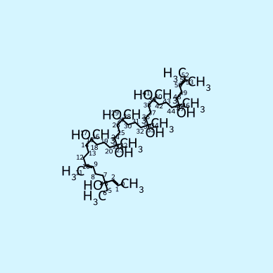 C/C=C/C(O)(CC)CC/C=C(\C)CCCC(C)(O)CCCC(C)(O)CCCC(C)(O)CCCC(C)(O)CCCC(C)(O)CCCC(C)(O)CCC=C(C)C